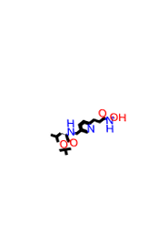 CC(C)C[C@H](NCc1ccc(CCC(=O)NO)nc1)C(=O)OC(C)(C)C